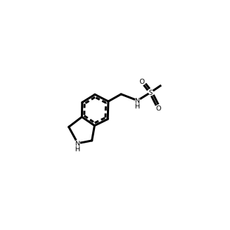 CS(=O)(=O)NCc1ccc2c(c1)CNC2